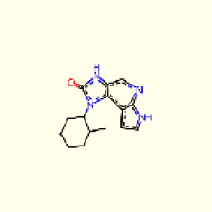 CC1CCCCC1n1c(=O)[nH]c2cnc3[nH]ccc3c21